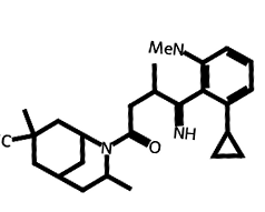 CNc1cccc(C2CC2)c1C(=N)C(C)CC(=O)N1C(C)CC2CC1CC(C)(C#N)C2